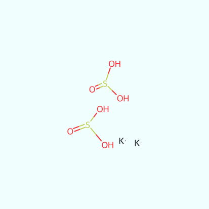 O=S(O)O.O=S(O)O.[K].[K]